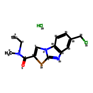 CN(CC(C)(C)C)C(=O)c1cn2c(nc3cc(CCl)ccc32)s1.Cl